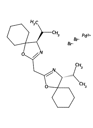 CC(C)[C@H]1N=C(CC2=N[C@H](C(C)C)C3(CCCCC3)O2)OC12CCCCC2.[Br-].[Br-].[Pd+2]